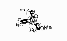 COc1cc(C)c(Nc2nc(=O)n(-c3cncc(C)c3)c(=O)n2Cc2ccc(F)c(C#N)c2)cn1